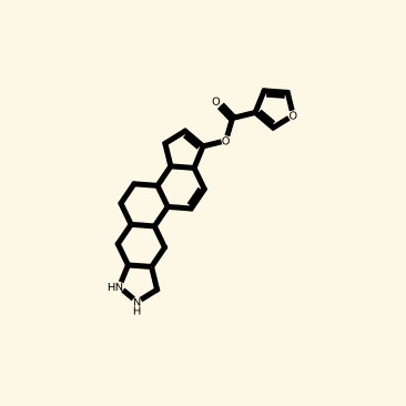 O=C(OC1=CCC2C1C=CC1C3CC4CNNC4CC3CCC12)c1ccoc1